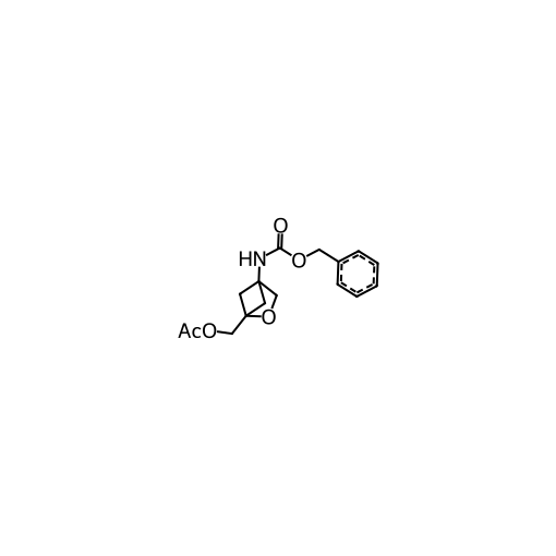 CC(=O)OCC12CC(NC(=O)OCc3ccccc3)(CO1)C2